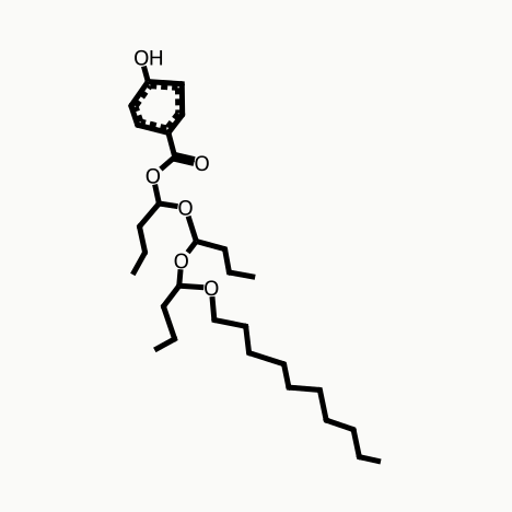 CCCCCCCCCCOC(CCC)OC(CCC)OC(CCC)OC(=O)c1ccc(O)cc1